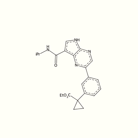 CCOC(=O)C1(c2cccc(-c3cnc4[nH]cc(C(=O)NC(C)C)c4n3)c2)CC1